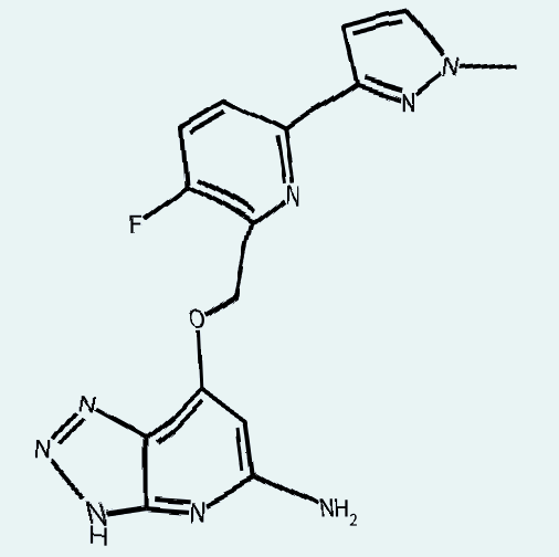 Cn1ccc(-c2ccc(F)c(COc3cc(N)nc4[nH]nnc34)n2)n1